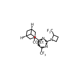 CCOC(=O)CC1[C@@H]2C[C@H]1CN(c1cc(C(F)(F)F)nc(N3CCC3C(F)(F)F)n1)C2